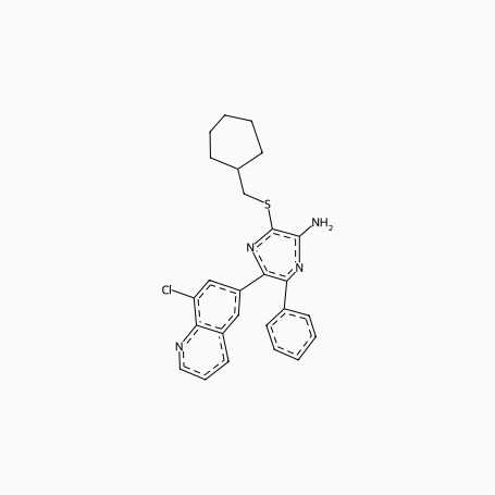 Nc1nc(-c2ccccc2)c(-c2cc(Cl)c3ncccc3c2)nc1SCC1CCCCC1